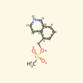 CS(=O)(=O)OCc1cccc2cnccc12